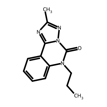 CCCn1c(=O)n2nc(C)nc2c2ccccc21